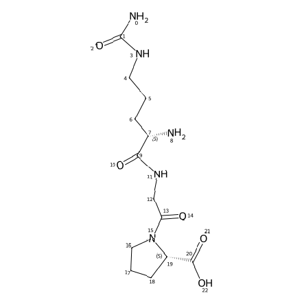 NC(=O)NCCC[C@H](N)C(=O)NCC(=O)N1CCC[C@H]1C(=O)O